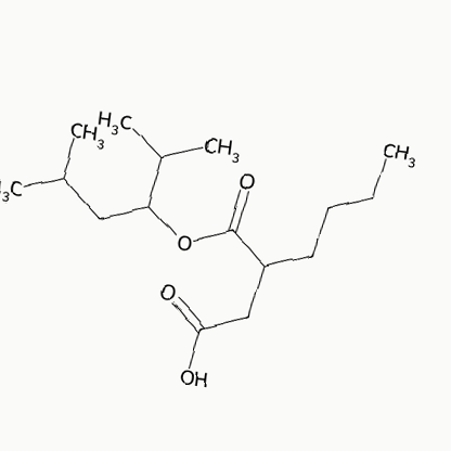 CCCCC(CC(=O)O)C(=O)OC(CC(C)C)C(C)C